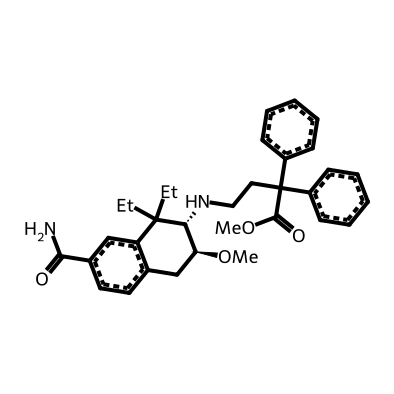 CCC1(CC)c2cc(C(N)=O)ccc2C[C@H](OC)[C@H]1NCCC(C(=O)OC)(c1ccccc1)c1ccccc1